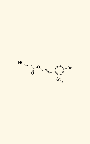 N#CCCC(=O)OC/C=C/c1ccc(Br)cc1[N+](=O)[O-]